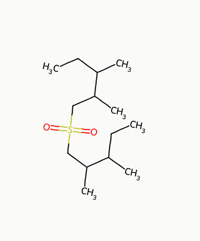 CCC(C)C(C)CS(=O)(=O)CC(C)C(C)CC